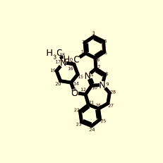 Cc1ccccc1-c1cn2c(n1)C(OC1CCN(C)CC1)c1ccccc1CC2